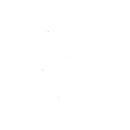 COC(OCCO)C(O)C(O)[C@@H](N)CCN=O